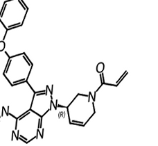 C=CC(=O)N1CC=C[C@@H](n2nc(-c3ccc(Oc4ccccc4)cc3)c3c(N)ncnc32)C1